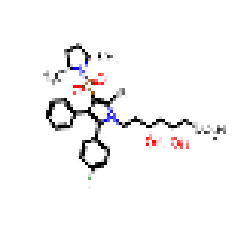 CC(C)c1c(S(=O)(=O)N2[C@H](C)CC[C@@H]2C)c(-c2ccccc2)c(-c2ccc(F)cc2)n1CC[C@@H](O)C[C@@H](O)CC(=O)O